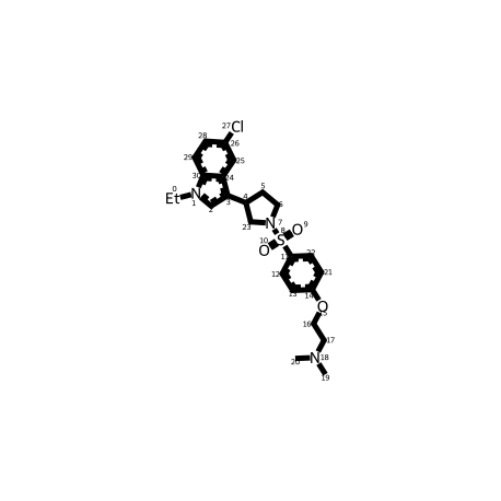 CCn1cc(C2CCN(S(=O)(=O)c3ccc(OCCN(C)C)cc3)C2)c2cc(Cl)ccc21